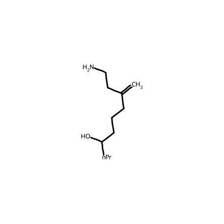 C=C(CCN)CCCC(O)CCC